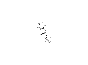 CP(C)(=O)OCC(=O)CC1CCCCC1